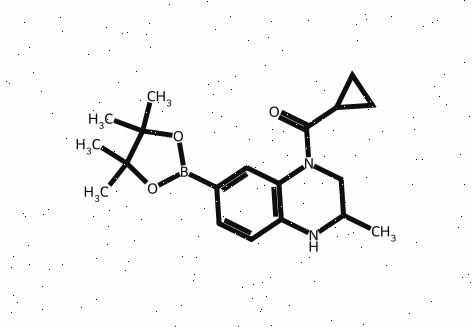 CC1CN(C(=O)C2CC2)c2cc(B3OC(C)(C)C(C)(C)O3)ccc2N1